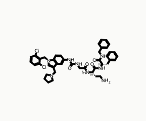 NCC[C@H](NC(=O)CNC(=O)Nc1ccc2c(c1)c(CN1CCCC1)cn2Cc1c(Cl)cccc1Cl)C(=O)N[C@@H](Cc1ccccc1)C(=O)NCc1ccccc1